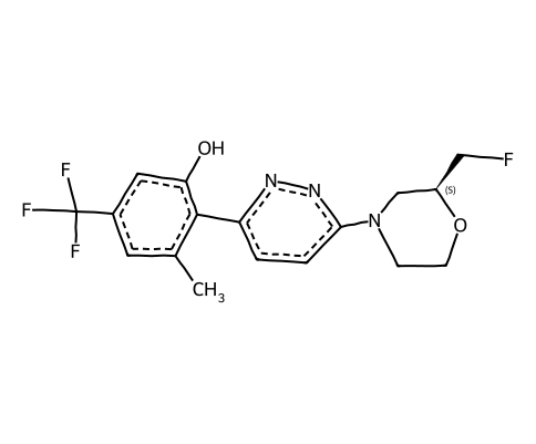 Cc1cc(C(F)(F)F)cc(O)c1-c1ccc(N2CCO[C@H](CF)C2)nn1